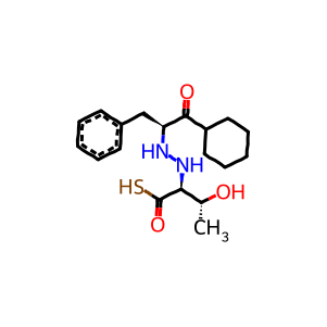 C[C@@H](O)[C@H](NN[C@@H](Cc1ccccc1)C(=O)C1CCCCC1)C(=O)S